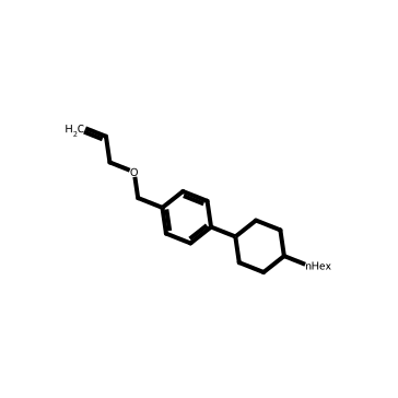 C=CCOCc1ccc(C2CCC(CCCCCC)CC2)cc1